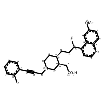 COc1ccc2nccc([C@H](F)CC[C@@H]3CCN(CC#Cc4ccccc4C)C[C@@H]3CC(=O)O)c2c1